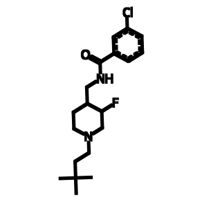 CC(C)(C)CCN1CCC(CNC(=O)c2cccc(Cl)c2)C(F)C1